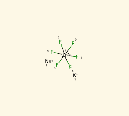 [F][Zr-2]([F])([F])([F])([F])[F].[K+].[Na+]